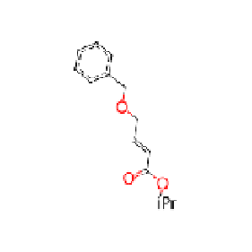 CC(C)OC(=O)/C=C/COCc1ccccc1